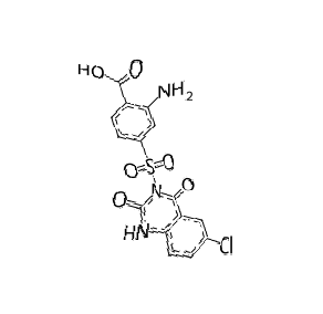 Nc1cc(S(=O)(=O)n2c(=O)[nH]c3ccc(Cl)cc3c2=O)ccc1C(=O)O